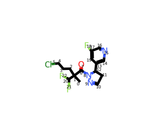 CC(CCCCl)(C(=O)N1N=CCC1c1cncc(F)c1)C(F)F